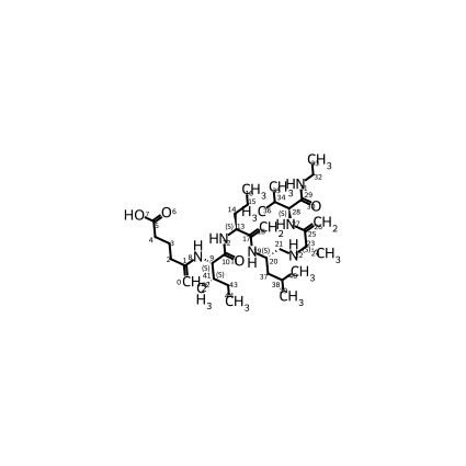 C=C(CCCC(=O)O)N[C@H](C(=O)N[C@@H](CCC)C(=C)N[C@H](CN[C@@H](C)C(=C)N[C@H](C(=O)NCC)C(C)C)CC(C)C)[C@@H](C)CC